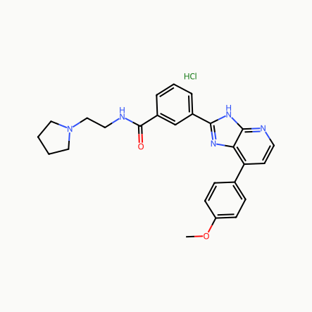 COc1ccc(-c2ccnc3[nH]c(-c4cccc(C(=O)NCCN5CCCC5)c4)nc23)cc1.Cl